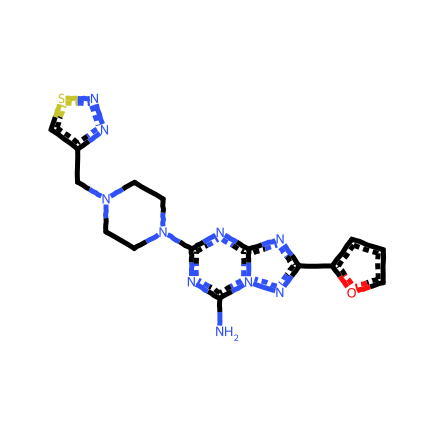 Nc1nc(N2CCN(Cc3csnn3)CC2)nc2nc(-c3ccco3)nn12